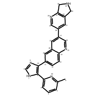 Cc1cccc(-c2[nH]cnc2-c2ccc3ncc(-c4cnc5c(c4)CNC5)cc3c2)n1